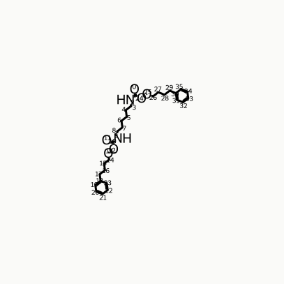 O=C(NCCCCCCNC(=O)OOCCCCc1ccccc1)OOCCCCc1ccccc1